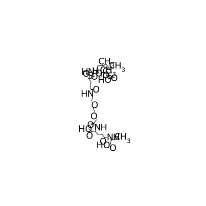 CCC(NC(=O)CCC(NC(=O)COCCOCCNC(=O)CCCS(=O)(=O)NC(=O)CC(C)(C)CC(C)(C)CS(=O)(=O)O)C(=O)O)C(=O)O